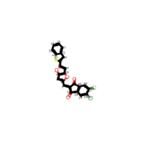 O=C1C(=Cc2cc3oc(-c4cc5ccccc5s4)cc3o2)C(=O)c2cc(Cl)c(Cl)cc21